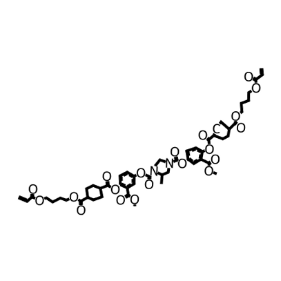 C=CC(=O)OCCCCOC(=O)C1CCC(C(=O)Oc2ccc(OC(=O)N3CCN(C(=O)Oc4ccc(OC(=O)C5CCC(C(=O)OCCCCOC(=O)C=C)CC5)c(C(=O)OC)c4)C(C)C3)cc2C(=O)OC)CC1